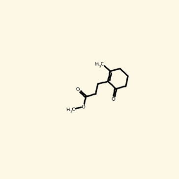 COC(=O)CCC1=C(C)CCCC1=O